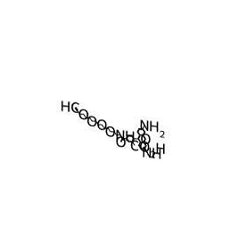 C#CCOCCOCCOCCOCCNC(=O)c1ccc(-c2c3ccc(=N)cc-3oc3cc(N)ccc23)c(C(=O)O)c1